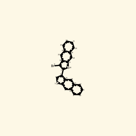 Brc1c(-c2csc3cc4ccccc4cc23)sc2cc3ccccc3cc12